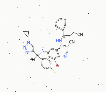 [2H][C@](Nc1cc(Br)c2ncc(C#N)c(N[C@H](CCC#N)c3ccccc3)c2c1)(c1ccc(F)cc1)c1cn(C2CC2)nn1